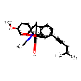 COC1CCC2(CC1)Cc1ccc(C#CCC(C)C)cc1C21NC(=O)N(C)C1=O